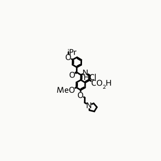 COc1cc2c(C(=O)c3cccc(OC(C)C)c3)ncc(C(=O)O)c2cc1OCCN1CCCC1.Cl